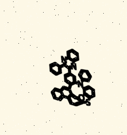 c1ccc(-c2nc3ccccc3nc2-c2ccc3c(c2)N(c2ccccc2)c2cccc4c2Oc2c(ccc5c2c-3cc2ccccc25)S4)cc1